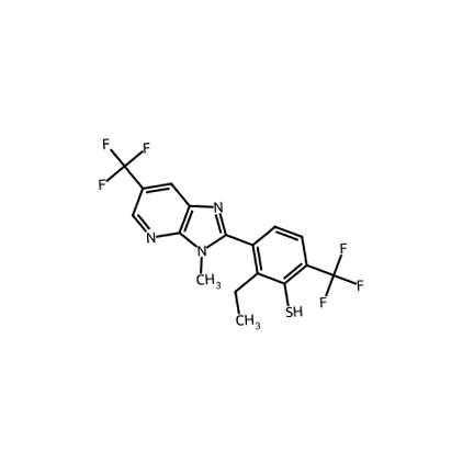 CCc1c(-c2nc3cc(C(F)(F)F)cnc3n2C)ccc(C(F)(F)F)c1S